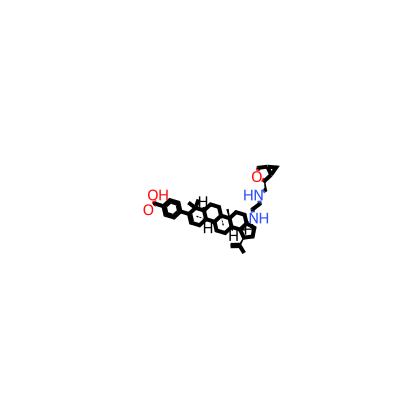 C=C(C)[C@@H]1CC[C@]2(NCCNC[C@H]3OCC4CC43)CC[C@]3(C)[C@H](CC[C@@H]4[C@@]5(C)CC=C(c6ccc(C(=O)O)cc6)C(C)(C)[C@@H]5CC[C@]43C)[C@@H]12